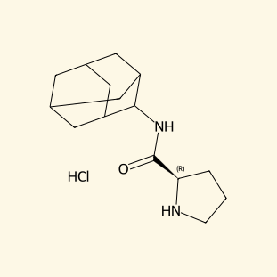 Cl.O=C(NC1C2CC3CC(C2)CC1C3)[C@H]1CCCN1